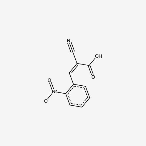 N#CC(=Cc1ccccc1[N+](=O)[O-])C(=O)O